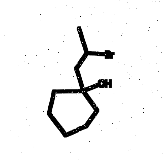 CC(Br)CC1(O)CCCCC1